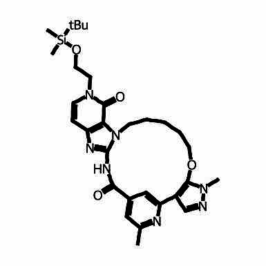 Cc1cc2cc(n1)-c1cnn(C)c1OCCCCCn1c(nc3ccn(CCO[Si](C)(C)C(C)(C)C)c(=O)c31)NC2=O